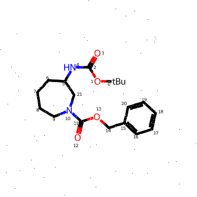 CC(C)(C)OC(=O)NC1CCCCN(C(=O)OCc2ccccc2)C1